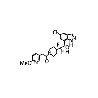 COc1ccc(CC(=O)N2CCC(C(F)(F)C(O)c3cc(Cl)cc4cn[nH]c34)CC2)cn1